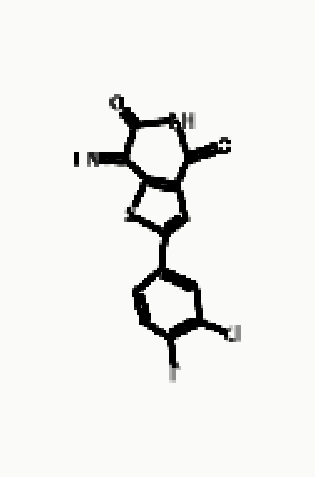 N=C1C(=O)NC(=O)c2cc(-c3ccc(F)c(Cl)c3)sc21